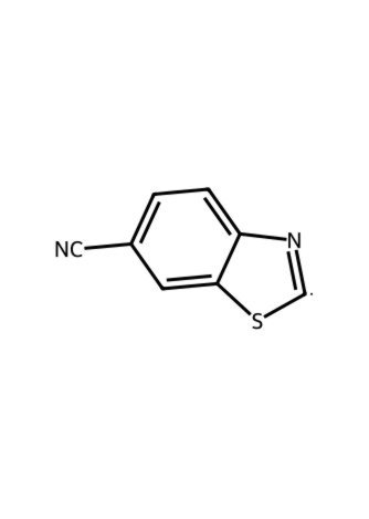 N#Cc1ccc2n[c]sc2c1